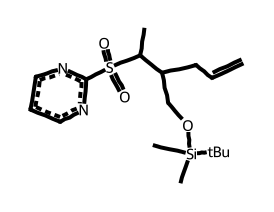 C=CCC(CO[Si](C)(C)C(C)(C)C)C(C)S(=O)(=O)c1ncccn1